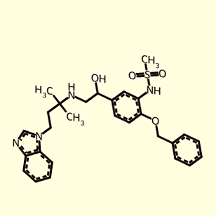 CC(C)(CCn1cnc2ccccc21)NCC(O)c1ccc(OCc2ccccc2)c(NS(C)(=O)=O)c1